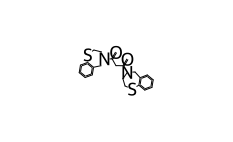 O=C(CC(=O)N1CCSc2ccccc2C1)N1CCSc2ccccc2C1